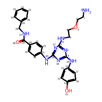 NCCOCCNc1nc(Nc2ccc(O)cc2)nc(Nc2ccc(C(=O)NCc3ccccc3)cc2)n1